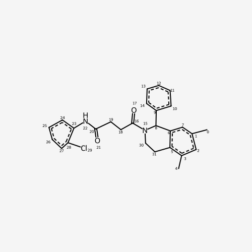 Cc1cc(C)c2c(c1)C(c1ccccc1)N(C(=O)CCC(=O)Nc1ccccc1Cl)CC2